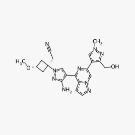 CO[C@H]1C[C@](CC#N)(n2cc(-c3nc(-c4cn(C)nc4CO)cn4nccc34)c(N)n2)C1